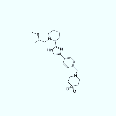 CSC(C)CN1CCCCC1c1nc(-c2ccc(CN3CCS(=O)(=O)CC3)cc2)c[nH]1